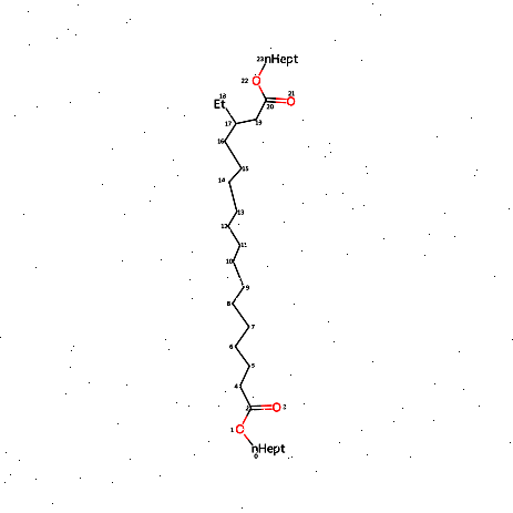 CCCCCCCOC(=O)CCCCCCCCCCCCCC(CC)CC(=O)OCCCCCCC